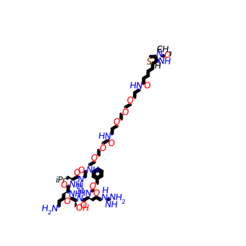 CC(C)C[C@H](NC(=O)[C@H](CCCCN)NC(=O)[C@H](CO)NC(=O)[C@H](CCCNC(=N)N)NC(=O)OCc1ccccc1)C(=O)NCC(=O)NCCOCCOCC(=O)NCCCOCCOCCOCCCNC(=O)CCCCC1SCC2[C@@H]1NC(=O)N2C